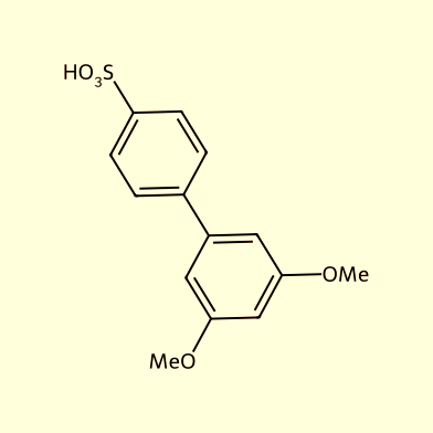 COc1cc(OC)cc(-c2ccc(S(=O)(=O)O)cc2)c1